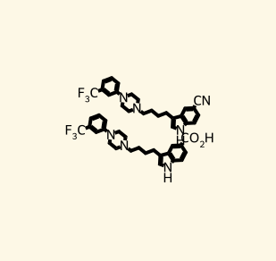 N#Cc1ccc2[nH]cc(CCCCN3CCN(c4cccc(C(F)(F)F)c4)CC3)c2c1.O=C(O)c1ccc2[nH]cc(CCCCN3CCN(c4cccc(C(F)(F)F)c4)CC3)c2c1